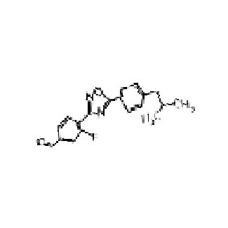 CC(C)Cc1ccc(-c2nc(-c3ccc(C=O)cc3F)no2)cc1